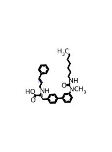 CCCCCCCNC(=O)N(C)c1cccc(-c2ccc(C[C@H](NC/C=C/c3ccccc3)C(=O)O)cc2)c1